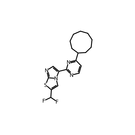 FC(F)c1cn2c(-c3nccc(C4CCCCCCCC4)n3)cnc2s1